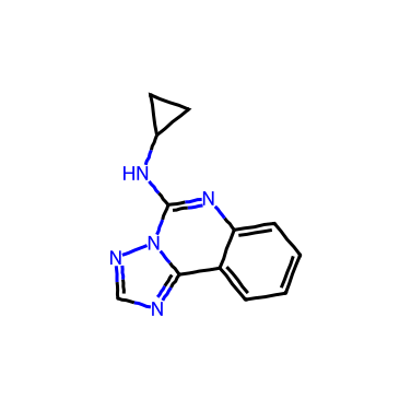 c1ccc2c(c1)nc(NC1CC1)n1ncnc21